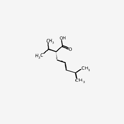 CC(C)CCC[C@@H](C(=O)O)C(C)C